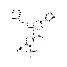 CN(c1ccc(C#N)c(C(F)(F)F)c1)C1C=C(n2ccnc2)CCC1(C)COCc1ccccc1